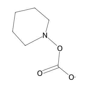 [O]C(=O)ON1CCCCC1